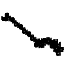 CC(C)(C)OC(=O)CCOCCOCCOCCOCCOCCOCCNC(=O)c1cc(Oc2ccc(NC(=O)Nc3ccc(Cl)c(C(F)(F)F)c3)cc2)ccn1